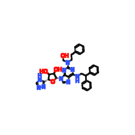 OCN(CCc1ccccc1)c1nc(NCC(c2ccccc2)c2ccccc2)c2ncn([C@@H]3O[C@H](c4nnc[nH]4)[C@@H](O)[C@H]3O)c2n1